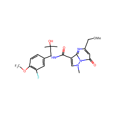 COCc1cc(=O)n2c(n1)c(C(=O)N[C@@H](c1ccc(OC(F)(F)F)c(F)c1)C(C)(C)O)cn2C